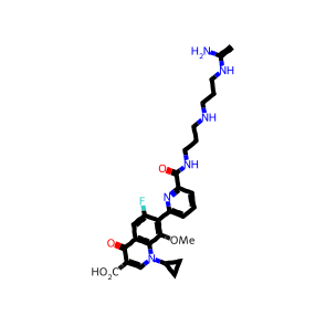 C=C(N)NCCCNCCCNC(=O)c1cccc(-c2c(F)cc3c(=O)c(C(=O)O)cn(C4CC4)c3c2OC)n1